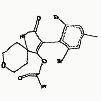 CCc1cc(C)cc(Br)c1C1=C(OC(=O)C(C)C)C2(CCOCC2)NC1=O